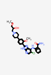 COCC(O)CN1CCC(c2ccc(-c3nc4c(NC5C6C=CC(C6)C5C(N)=O)c(Cl)cnc4[nH]3)c(OC)c2)CC1